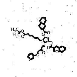 CC(C)OC(=O)CCCC=CC[C@@H]1[C@@H](C=CC(=O)COc2ccccc2)[C@H](OC(=O)c2ccc3ccccc3c2)C[C@@H]1OC(=O)c1ccc2ccccc2c1